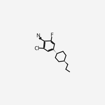 CCC[C@H]1CC[C@H](c2cc(F)c(C#N)c(Cl)c2)CC1